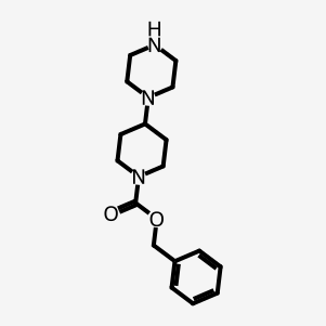 O=C(OCc1ccccc1)N1CCC(N2CCNCC2)CC1